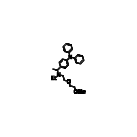 CCN(CCOCCOC)C(C)c1ccc(N(c2ccccc2)c2ccccc2)cc1